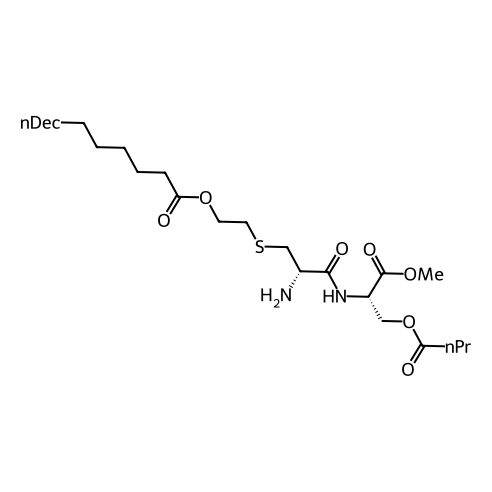 CCCCCCCCCCCCCCCC(=O)OCCSC[C@@H](N)C(=O)N[C@@H](COC(=O)CCC)C(=O)OC